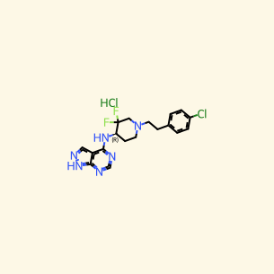 Cl.FC1(F)CN(CCc2ccc(Cl)cc2)CC[C@H]1Nc1ncnc2[nH]ncc12